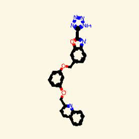 c1cc(OCc2ccc3nc(-c4nnn[nH]4)oc3c2)cc(OCc2ccc3ccccc3n2)c1